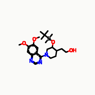 COc1cc2ncnc(N3CCC(CCO)C(O[Si](C)(C)C(C)(C)C)C3)c2cc1OC